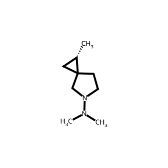 C[C@H]1CC12CCN(N(C)C)C2